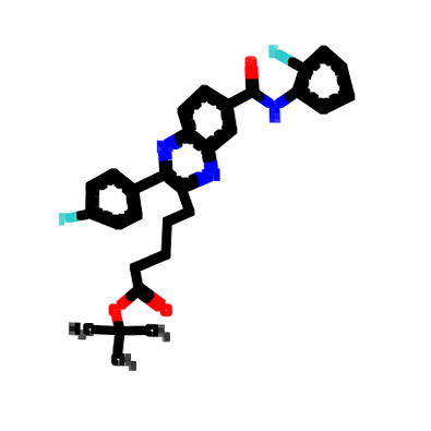 CC(C)(C)OC(=O)CCCCc1nc2cc(C(=O)Nc3ccccc3F)ccc2nc1-c1ccc(F)cc1